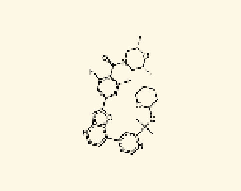 C[C@@H]1CN(C(=O)c2c(F)cc(-c3cc4nccc(-c5ccnc(C(C)(C)OC6CCCCO6)c5)c4o3)cc2F)C[C@H](C)O1